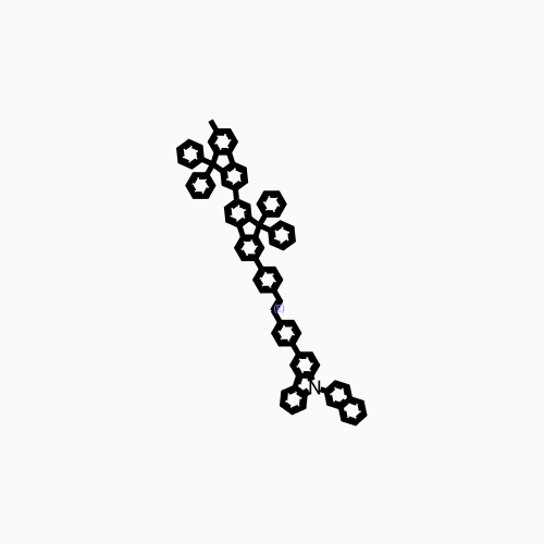 Cc1ccc2c(c1)C(c1ccccc1)(c1ccccc1)c1cc(-c3ccc4c(c3)C(c3ccccc3)(c3ccccc3)c3cc(-c5ccc(/C=C/c6ccc(-c7ccc8c(c7)c7ccccc7n8-c7ccc8ccccc8c7)cc6)cc5)ccc3-4)ccc1-2